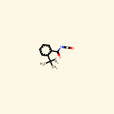 CC(C)(C)c1ccccc1C(=O)N=C=O